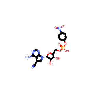 N#Cc1cn([C@@H]2OC(COP(=O)(O)Oc3ccc([N+](=O)[O-])cc3)[C@H](O)[C@H]2O)c2ncnc(N)c12